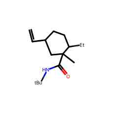 C=CC1CCC(CC)C(C)(C(=O)NC(C)(C)C)C1